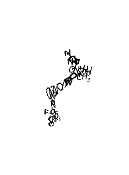 CC(C)(O)c1cc2nn(C3CCC(N4CC[N+]([O-])(C5CN(c6cc(F)c([C@H]7CCC(=O)NC7=O)c(F)c6)C5)CC4)CC3)cc2cc1NC(=O)c1ccc2cc(C#N)cnn12